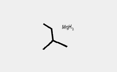 CC[C](C)C.[MgH2]